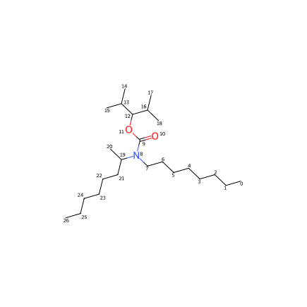 CCCCCCCCN(C(=O)OC(C(C)C)C(C)C)C(C)CCCCCC